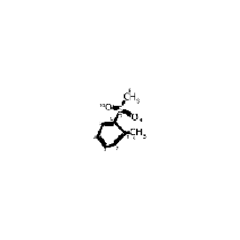 Cc1c[c]ccc1S(C)(=O)=O